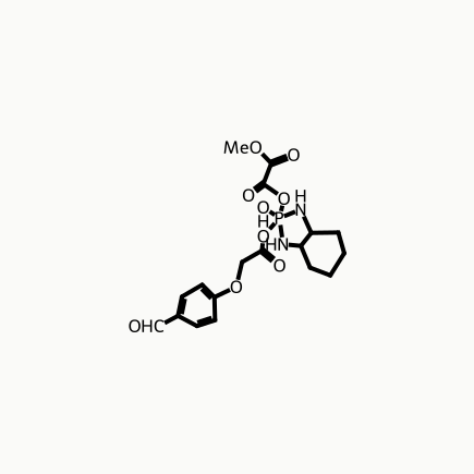 COC(=O)C(=O)OP1(O)(OC(=O)COc2ccc(C=O)cc2)NC2CCCCC2N1